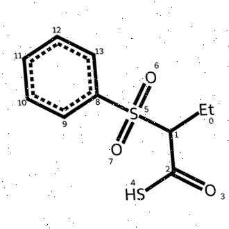 CCC(C(=O)S)S(=O)(=O)c1ccccc1